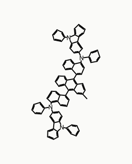 Cc1ccc2c(-c3ccc(N(c4ccccc4)c4ccc5c(c4)c4ccccc4n5-c4ccccc4)c4ccccc34)c3ccccc3c(-c3cccc4c(N(c5ccccc5)c5ccc6c(c5)c5ccccc5n6-c5ccccc5)cccc34)c2c1